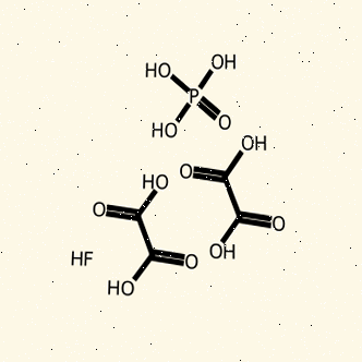 F.O=C(O)C(=O)O.O=C(O)C(=O)O.O=P(O)(O)O